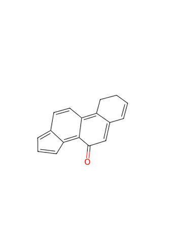 O=C1C=C2C=CCCC2=c2ccc3c(c21)C=CC=3